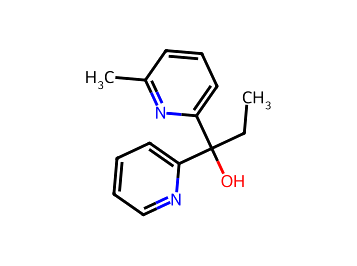 CCC(O)(c1ccccn1)c1cccc(C)n1